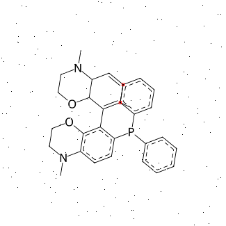 CC1=C(c2c(P(c3ccccc3)c3ccccc3)ccc3c2OCCN3C)C2OCCN(C)C2C=C1